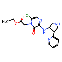 CCOC(=O)Cn1c(Cl)cnc(NC2CNCC2c2ccccn2)c1=O